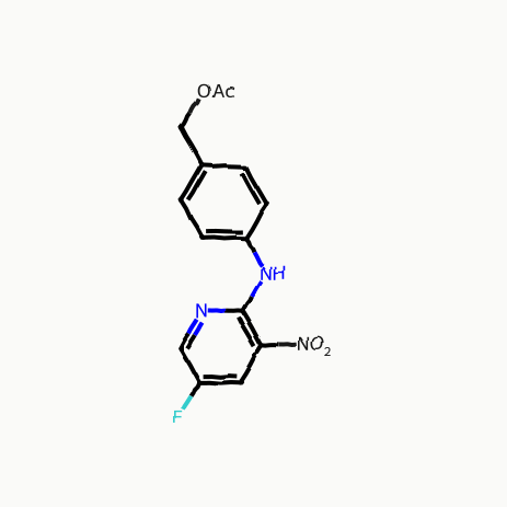 CC(=O)OCc1ccc(Nc2ncc(F)cc2[N+](=O)[O-])cc1